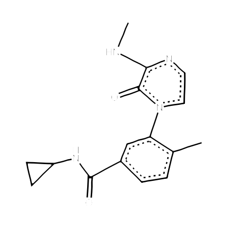 CNc1nccn(-c2cc(C(=O)NC3CC3)ccc2C)c1=O